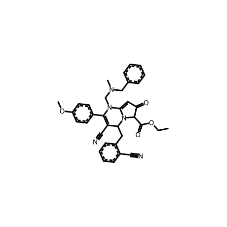 CCOC(=O)C1C(=O)C=C2N(CN(C)Cc3ccccc3)C(c3ccc(OC)cc3)=C(C#N)C(Cc3ccccc3C#N)N21